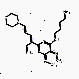 C=C/C(=C\C=C\N1CCOCC1)C1=CC(=N/C)/C(=N\C)C(NCCCCN)=N1